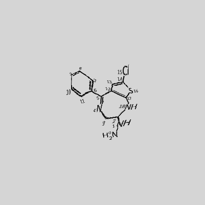 NNC1CN=C(c2ccccc2)c2cc(Cl)sc2N1